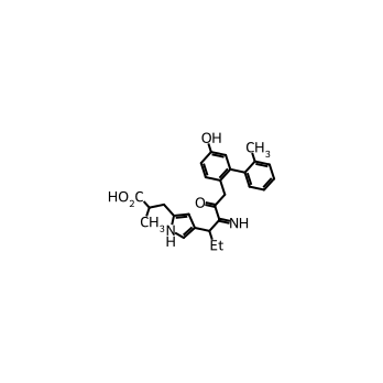 CCC(C(=N)C(=O)Cc1ccc(O)cc1-c1ccccc1C)c1c[nH]c(CC(C)C(=O)O)c1